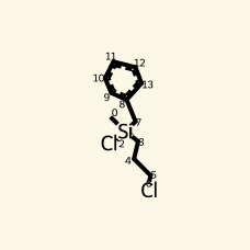 C[Si](Cl)(CCCCl)Cc1ccccc1